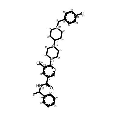 CC(NC(=O)c1cnc(N2CCN(C3CCN(Cc4ccc(Cl)cc4)CC3)CC2)c(Cl)c1)c1ccccc1